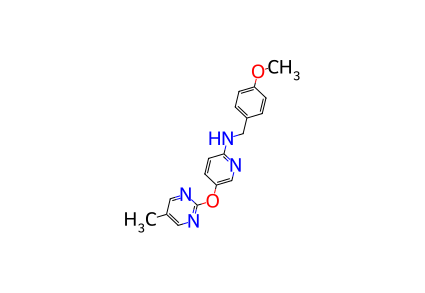 COc1ccc(CNc2ccc(Oc3ncc(C)cn3)cn2)cc1